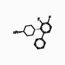 CCC[C@H]1CC[C@H](c2c(-c3ccccc3)ccc(F)c2F)CC1